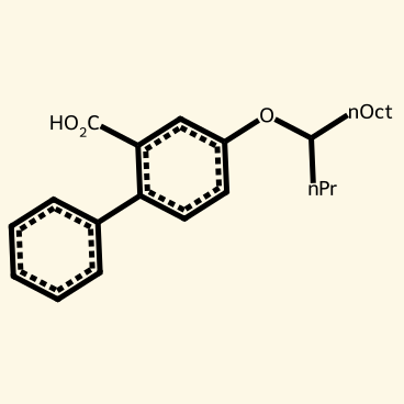 CCCCCCCCC(CCC)Oc1ccc(-c2ccccc2)c(C(=O)O)c1